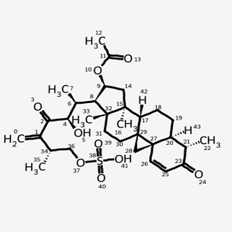 C=C(C(=O)[C@H](O)[C@@H](C)[C@H]1[C@@H](OC(C)=O)C[C@@]2(C)[C@@H]3CC[C@H]4[C@H](C)C(=O)C=C[C@@]45C[C@@]35CC[C@]12C)[C@@H](C)COS(=O)(=O)O